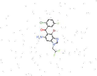 Nc1cc2c(ncn2CC(F)F)c(Br)c1C(=O)c1cc(F)ccc1Cl